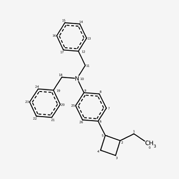 CCC1CC[C]1c1ccc(N(Cc2ccccc2)Cc2ccccc2)cc1